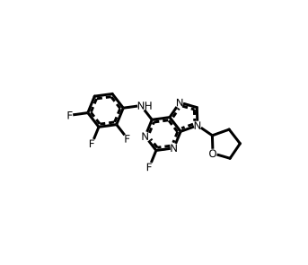 Fc1nc(Nc2ccc(F)c(F)c2F)c2ncn(C3CCCO3)c2n1